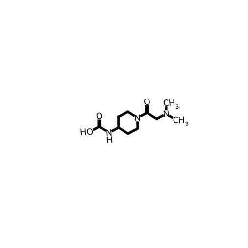 CN(C)CC(=O)N1CCC(NC(=O)O)CC1